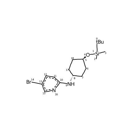 CC(C)(C)[Si](C)(C)O[C@H]1CC[C@H](Nc2ccc(Br)cn2)CC1